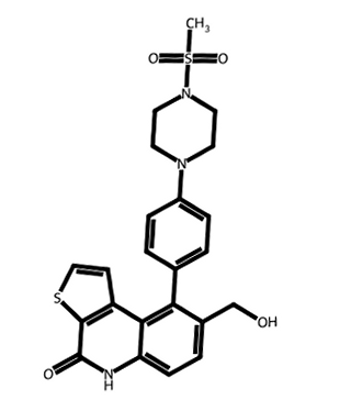 CS(=O)(=O)N1CCN(c2ccc(-c3c(CO)ccc4[nH]c(=O)c5sccc5c34)cc2)CC1